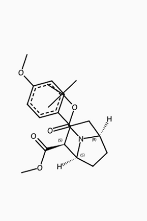 COC(=O)[C@H]1C(c2ccc(OC)cc2)C[C@H]2CC[C@@H]1N2C(=O)OC(C)(C)C